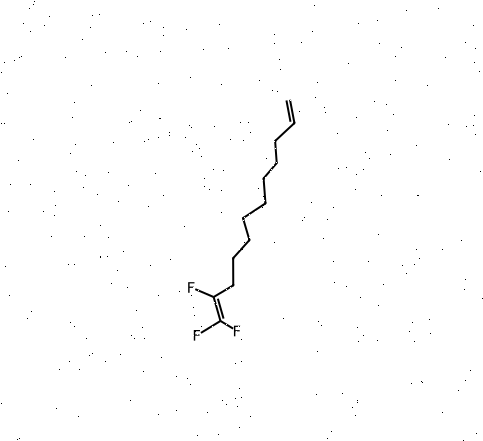 C=CCCCCCCCCC(F)=C(F)F